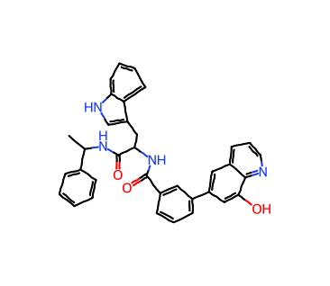 CC(NC(=O)C(Cc1c[nH]c2ccccc12)NC(=O)c1cccc(-c2cc(O)c3ncccc3c2)c1)c1ccccc1